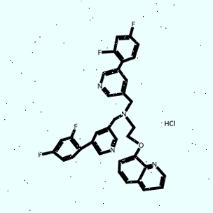 Cl.Fc1ccc(-c2cncc(CN(CCOc3cccc4cccnc34)Cc3cncc(-c4ccc(F)cc4F)c3)c2)c(F)c1